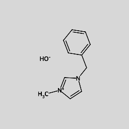 C[n+]1ccn(Cc2ccccc2)c1.[OH-]